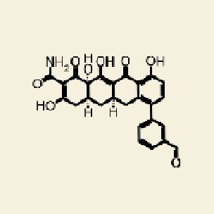 NC(=O)C1=C(O)C[C@@H]2C[C@@H]3Cc4c(-c5cccc(C=O)c5)ccc(O)c4C(=O)C3=C(O)[C@]2(O)C1=O